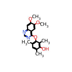 COc1cc2ncnc(Oc3c(C)cc(C)c(O)c3C)c2cc1OC